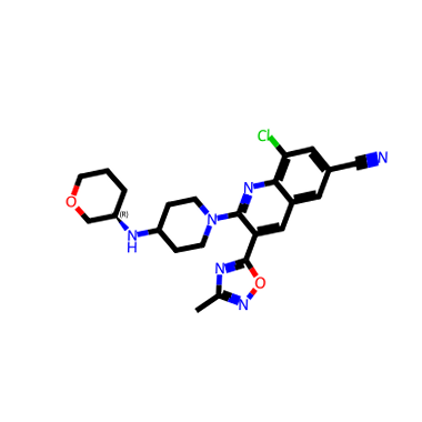 Cc1noc(-c2cc3cc(C#N)cc(Cl)c3nc2N2CCC(N[C@@H]3CCCOC3)CC2)n1